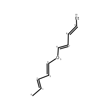 CC=CC=COC=CC=CCC